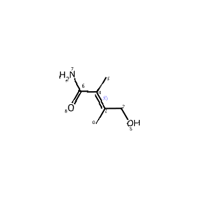 C/C(CO)=C(/C)C(N)=O